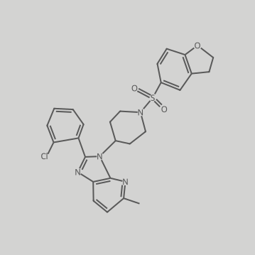 Cc1ccc2nc(-c3ccccc3Cl)n(C3CCN(S(=O)(=O)c4ccc5c(c4)CCO5)CC3)c2n1